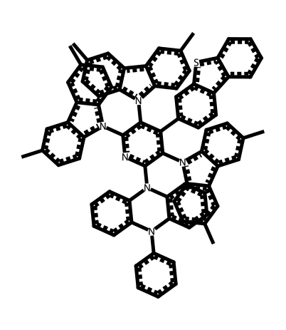 Cc1ccc2c(c1)c1cc(C)ccc1n2-c1nc(N2c3ccccc3N(c3ccccc3)c3ccccc32)c(-n2c3ccc(C)cc3c3cc(C)ccc32)c(-c2ccc3c(c2)sc2ccccc23)c1-n1c2ccc(C)cc2c2cc(C)ccc21